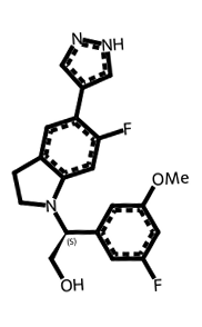 COc1cc(F)cc([C@@H](CO)N2CCc3cc(-c4cn[nH]c4)c(F)cc32)c1